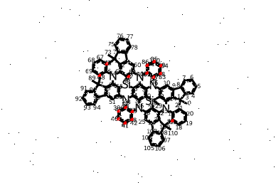 CC1(C)c2ccccc2-c2cc3c4c(c21)N(c1ccccc1)c1c2c(cc5c1[Si]4(C)c1c(c4c6c(c1N5c1ccccc1)N(c1ccccc1)c1cc5c(c7c1[Si]6(C)c1c(cc6c(c1N7c1ccccc1)C(C)(C)c1ccccc1-6)N4c1ccccc1)C(C)(C)c1ccccc1-5)N3c1ccccc1)-c1ccccc1C2(C)C